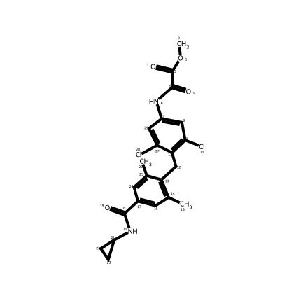 COC(=O)C(=O)Nc1cc(Cl)c(Cc2c(C)cc(C(=O)NC3CC3)cc2C)c(Cl)c1